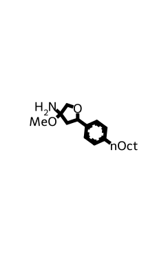 CCCCCCCCc1ccc(C2CC(N)(OC)CO2)cc1